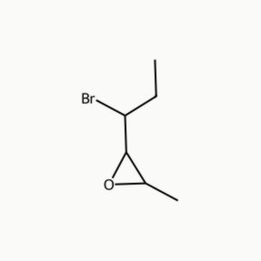 CCC(Br)C1OC1C